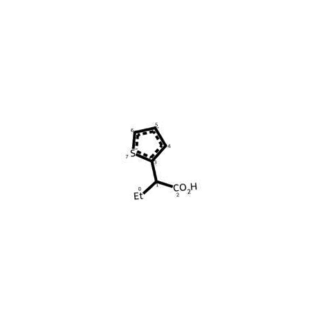 CCC(C(=O)O)c1c[c]cs1